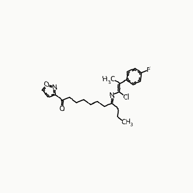 CCC/C(CCCCCCC(=O)c1ccon1)=N\C(Cl)=C(/C)c1ccc(F)cc1